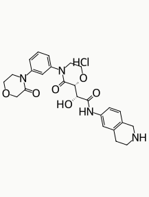 Cl.O=C(Nc1ccc2c(c1)CCNC2)[C@H](O)[C@H]1OCCN(c2cccc(N3CCOCC3=O)c2)C1=O